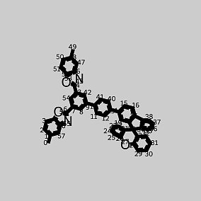 Cc1ccc2oc(-c3cc(-c4ccc(-c5ccc6c(c5)C5(c7ccccc7Oc7ccccc75)c5ccccc5-6)cc4)cc(-c4nc5cc(C)ccc5o4)c3)nc2c1